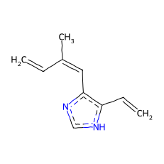 C=C/C(C)=C\c1nc[nH]c1C=C